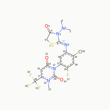 CN(C)N1C(=O)CS/C1=N\c1cc(-n2c(=O)cc(C(F)(F)F)n(C)c2=O)c(F)cc1Cl